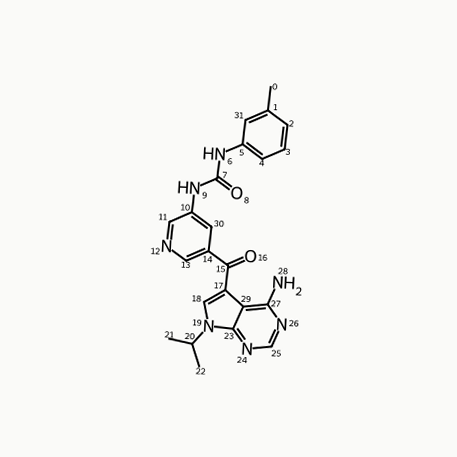 Cc1cccc(NC(=O)Nc2cncc(C(=O)c3cn(C(C)C)c4ncnc(N)c34)c2)c1